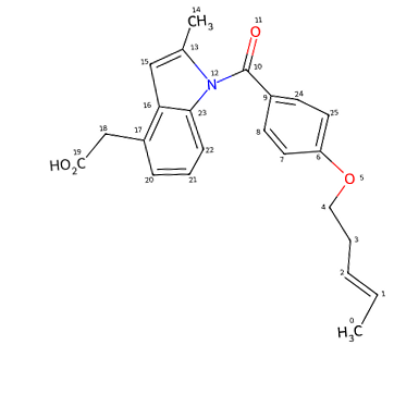 C/C=C/CCOc1ccc(C(=O)n2c(C)cc3c(CC(=O)O)cccc32)cc1